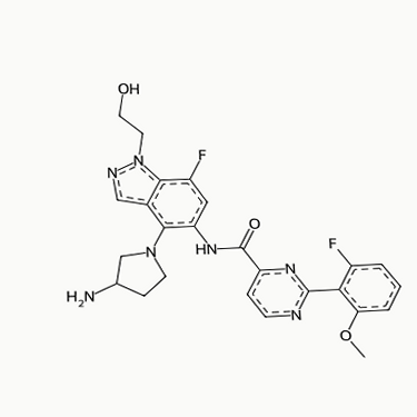 COc1cccc(F)c1-c1nccc(C(=O)Nc2cc(F)c3c(cnn3CCO)c2N2CCC(N)C2)n1